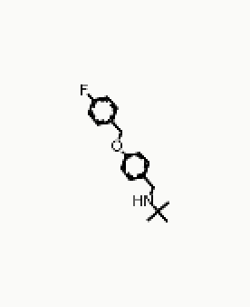 CC(C)(C)NCc1ccc(OCc2ccc(F)cc2)cc1